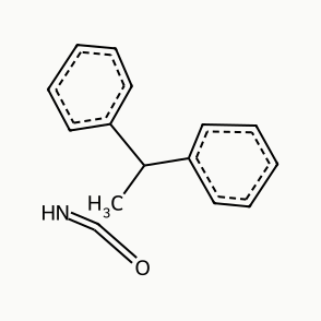 CC(c1ccccc1)c1ccccc1.N=C=O